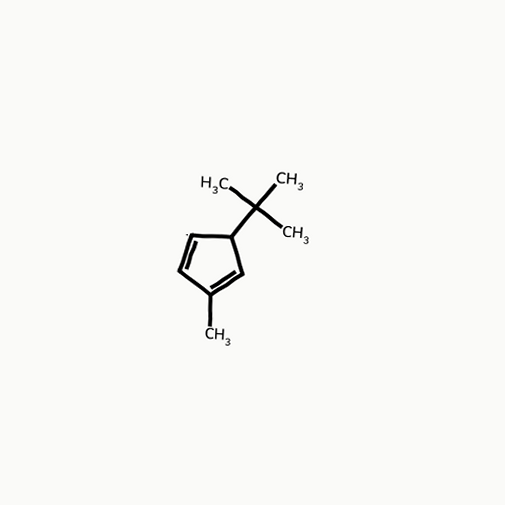 CC1=CC(C(C)(C)C)[C]=C1